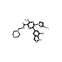 Cc1ccn(-c2nc(N)c(C(=O)NCN3CCOCC3)nc2-c2cc(Cl)c3[nH]ncc3c2)n1